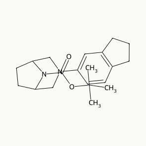 CC(C)(C)OC(=O)N1C2CCC1CN(c1ccc3c(c1)CCC3)C2